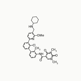 COc1nc(-c2cccc(-c3cccc(NC(=O)c4cn(C)c(=O)n(C)c4=O)c3C)c2Cl)ccc1CNC1CCCCC1